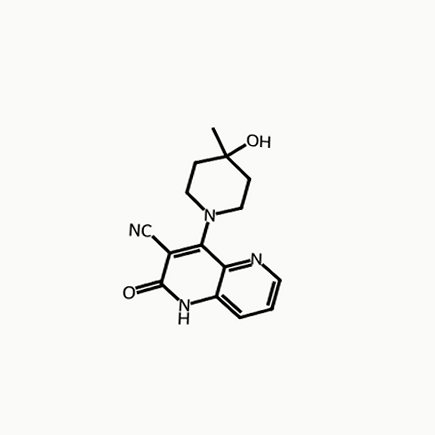 CC1(O)CCN(c2c(C#N)c(=O)[nH]c3cccnc23)CC1